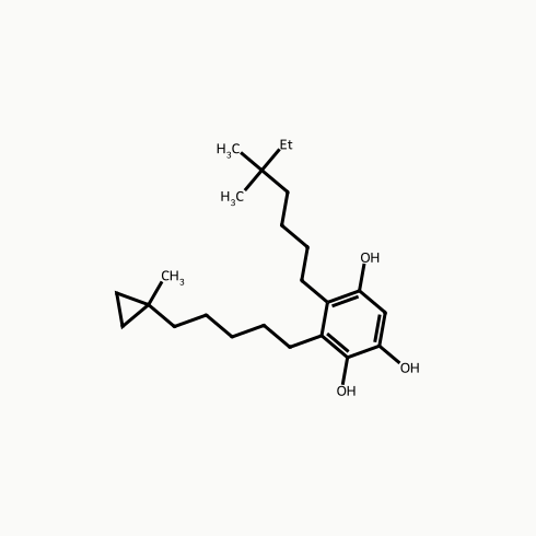 CCC(C)(C)CCCCc1c(O)cc(O)c(O)c1CCCCCC1(C)CC1